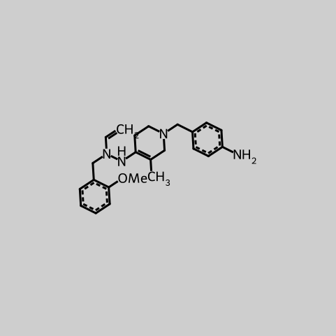 C=CN(Cc1ccccc1OC)NC1=C(C)CN(Cc2ccc(N)cc2)CC1